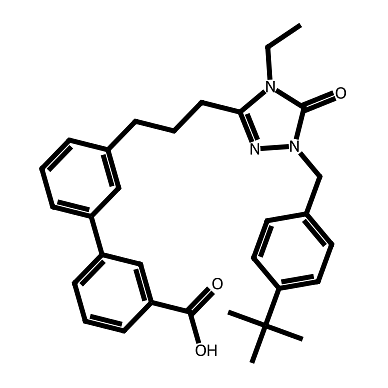 CCn1c(CCCc2cccc(-c3cccc(C(=O)O)c3)c2)nn(Cc2ccc(C(C)(C)C)cc2)c1=O